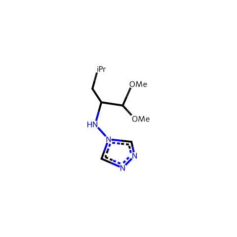 COC(OC)C(CC(C)C)Nn1cnnc1